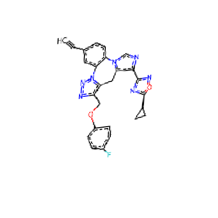 C#Cc1ccc2c(c1)-n1nnc(COc3ccc(F)cc3)c1Cc1c(-c3noc(C4CC4)n3)ncn1-2